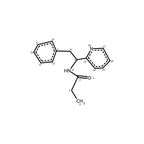 CCC(=O)NC(Cc1ccccc1)c1ccccn1